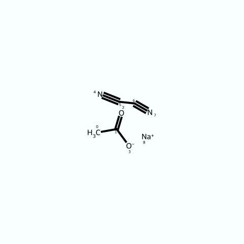 CC(=O)[O-].N#CC#N.[Na+]